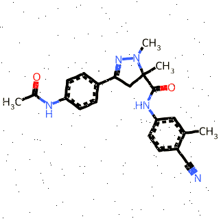 CC(=O)Nc1ccc(C2=NN(C)C(C)(C(=O)Nc3ccc(C#N)c(C)c3)C2)cc1